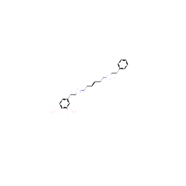 Oc1ccc(CCNCCC=CCCNCCc2ccccc2)cc1O